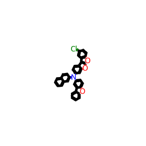 Clc1ccc2oc3oc4cc(N(c5ccc6ccccc6c5)c5ccc6oc7ccccc7c6c5)ccc4c3c2c1